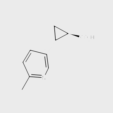 Cc1ccc([C@@H]2C[C@H]2C(=O)O)cn1